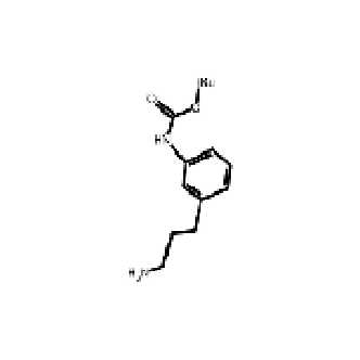 CC(C)(C)OC(=O)Nc1cccc(CCCN)c1